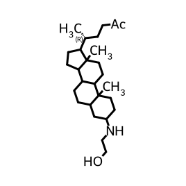 CC(=O)CC[C@@H](C)C1CCC2C3CCC4CC(NCCO)CCC4(C)C3CCC21C